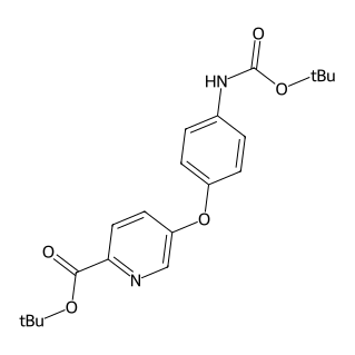 CC(C)(C)OC(=O)Nc1ccc(Oc2ccc(C(=O)OC(C)(C)C)nc2)cc1